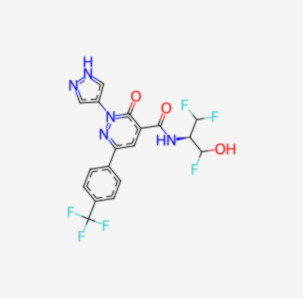 O=C(N[C@H](C(O)F)C(F)F)c1cc(-c2ccc(C(F)(F)F)cc2)nn(-c2cn[nH]c2)c1=O